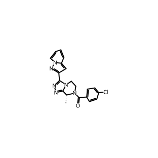 C[C@@H]1c2nnc(-c3cc4ccccn4n3)n2CCN1C(=O)c1ccc(Cl)cc1